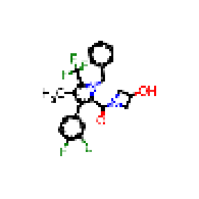 Cc1c(-c2ccc(F)c(Cl)c2)c(C(=O)N2CC(O)C2)n(Cc2ccccc2)c1C(F)(F)F